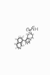 CNC(=O)N1CCn2cnc(-c3cccc4ccncc34)c2C1